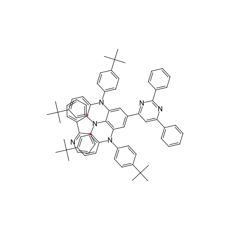 CC(C)(C)c1ccc(N(c2ccc(C(C)(C)C)cc2)c2cc(-c3cc(-c4ccccc4)nc(-c4ccccc4)n3)cc(N(c3ccc(C(C)(C)C)cc3)c3ccc(C(C)(C)C)cc3)c2-n2c3ccccc3c3ncccc32)cc1